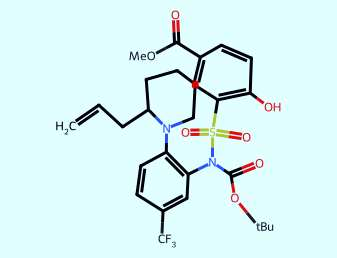 C=CCC1CCCCN1c1ccc(C(F)(F)F)cc1N(C(=O)OC(C)(C)C)S(=O)(=O)c1cc(C(=O)OC)ccc1O